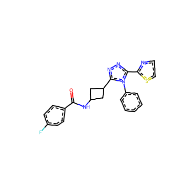 O=C(NC1CC(c2nnc(-c3nccs3)n2-c2ccccc2)C1)c1ccc(F)cc1